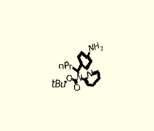 CCCC(c1ccc(N)cc1)N(C(=O)OC(C)(C)C)c1ccccn1